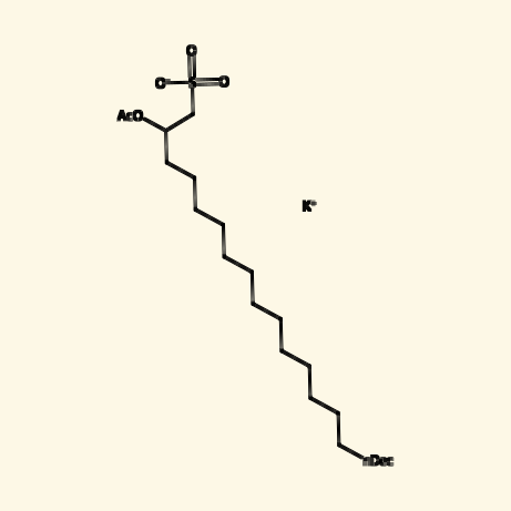 CCCCCCCCCCCCCCCCCCCCCCCC(CS(=O)(=O)[O-])OC(C)=O.[K+]